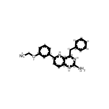 N#CCOc1cccc(-c2ccc3nc(N)nc(Cc4ccccc4)c3n2)c1